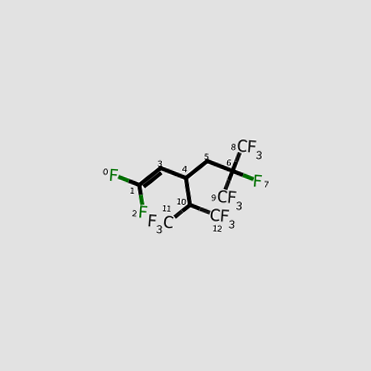 FC(F)=CC(CC(F)(C(F)(F)F)C(F)(F)F)C(C(F)(F)F)C(F)(F)F